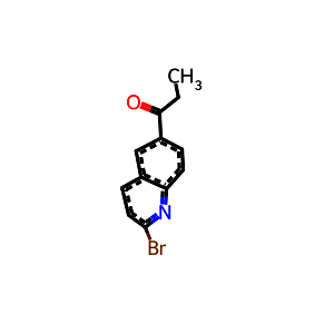 CCC(=O)c1ccc2nc(Br)ccc2c1